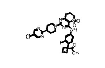 O=C(O)C1(c2ccc(Nc3nc(N4CCC(c5ncc(Cl)cn5)CC4)nc4c3S(=O)(=O)CCC4)cc2F)CCC1